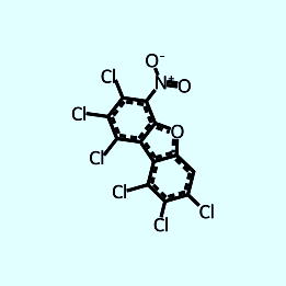 O=[N+]([O-])c1c(Cl)c(Cl)c(Cl)c2c1oc1cc(Cl)c(Cl)c(Cl)c12